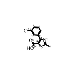 Cc1nc(-c2cccc(Cl)c2)c(C(=O)O)s1